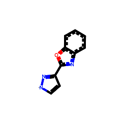 C1=CC(c2nc3ccccc3o2)=N[N]1